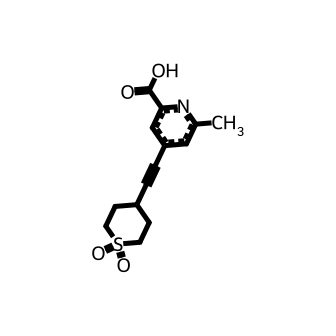 Cc1cc(C#CC2CCS(=O)(=O)CC2)cc(C(=O)O)n1